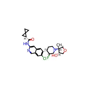 C[C@@]1(N2CC[C@@H](c3cc4cc(NC(=O)[C@@H]5CC56CC6)ncc4cc3Cl)[C@H](F)C2)COC[C@@H]1O